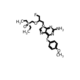 CCP(=O)(CC)COC(CF)Cn1cnc2c(Sc3ccc(OC)cc3)nc(N)nc21